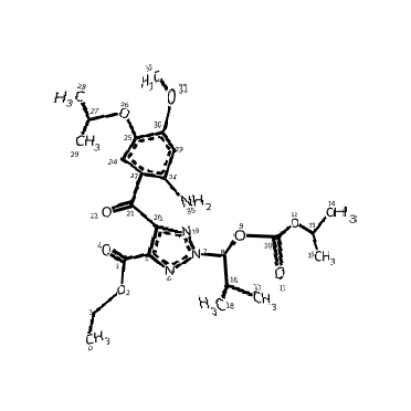 CCOC(=O)c1nn(C(OC(=O)OC(C)C)C(C)C)nc1C(=O)c1cc(OC(C)C)c(OC)cc1N